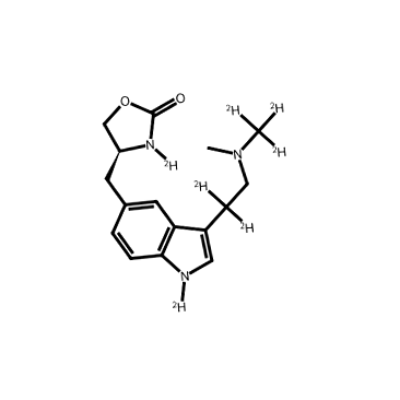 [2H]N1C(=O)OC[C@@H]1Cc1ccc2c(c1)c(C([2H])([2H])CN(C)C([2H])([2H])[2H])cn2[2H]